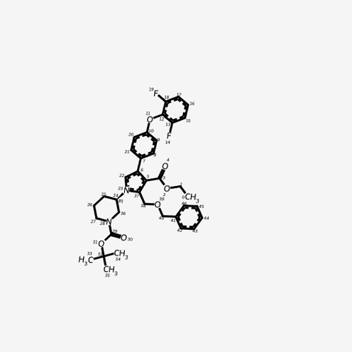 CCOC(=O)c1c(-c2ccc(Oc3c(F)cccc3F)cc2)cn([C@@H]2CCCN(C(=O)OC(C)(C)C)C2)c1COCc1ccccc1